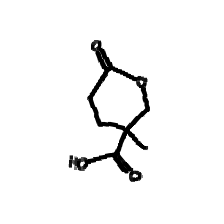 CC1(C(=O)O)CCC(=O)OC1